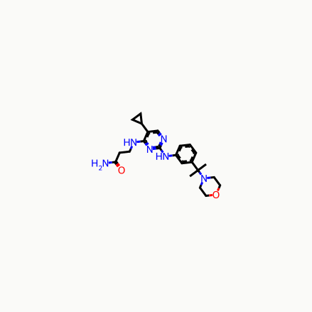 CC(C)(c1cccc(Nc2ncc(C3CC3)c(NCCC(N)=O)n2)c1)N1CCOCC1